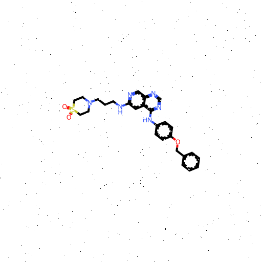 O=S1(=O)CCN(CCCNc2cc3c(Nc4ccc(OCc5ccccc5)cc4)ncnc3cn2)CC1